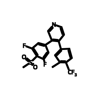 Cc1cc(-c2ccncc2-c2cc(F)c(S(C)(=O)=O)c(F)c2)ccc1C(F)(F)F